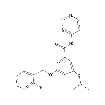 CC(C)Oc1cc(OCc2ccccc2F)cc(C(=O)Nc2ccncn2)c1